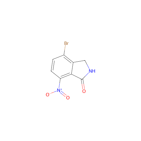 O=C1NCc2c(Br)ccc([N+](=O)[O-])c21